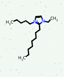 CCCCCCCCc1n(CC)cc[n+]1CCCCC